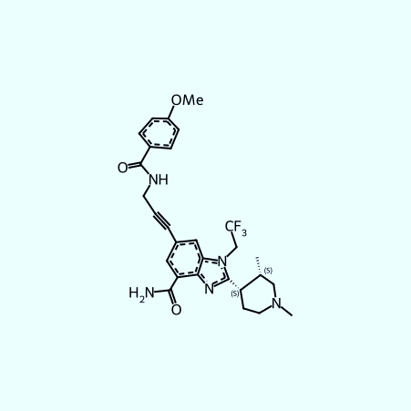 COc1ccc(C(=O)NCC#Cc2cc(C(N)=O)c3nc([C@H]4CCN(C)C[C@H]4C)n(CC(F)(F)F)c3c2)cc1